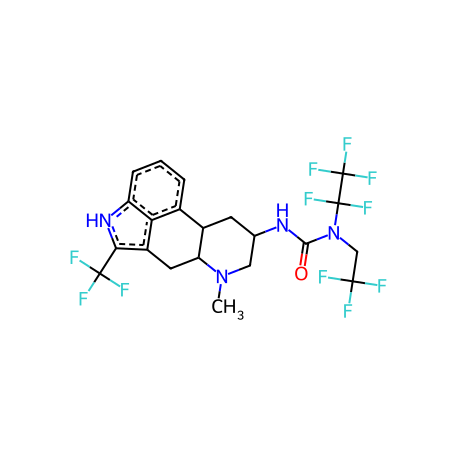 CN1CC(NC(=O)N(CC(F)(F)F)C(F)(F)C(F)(F)F)CC2c3cccc4[nH]c(C(F)(F)F)c(c34)CC21